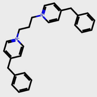 c1ccc(Cc2cc[n+](CCC[n+]3ccc(Cc4ccccc4)cc3)cc2)cc1